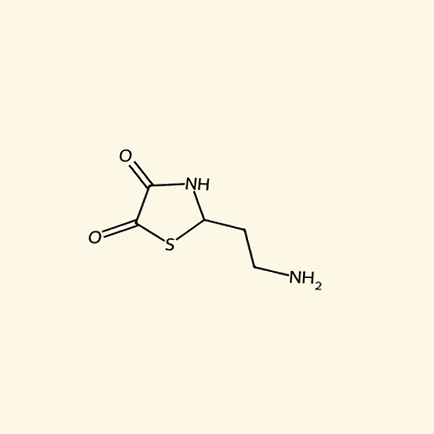 NCCC1NC(=O)C(=O)S1